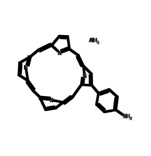 Nc1ccc(C2=CC3=CC4=NC(=CC5=NC(=CC6=NC(=CC2=N3)C=C6)C=C5)C=C4)cc1.[AlH3]